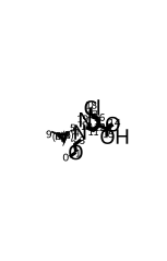 COCCN(C[C@@H]1C[C@H]1C)c1cc(C(=O)O)cc(Cl)n1